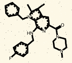 Cc1c(C)n(Cc2ccccc2)c2c(NCc3ccc(F)cc3)nc(C(=O)N3CCN(C)CC3)cc12